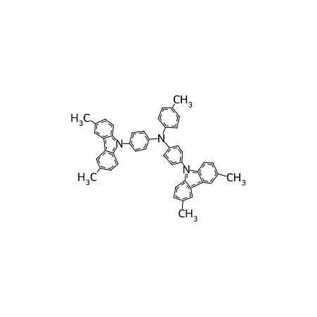 Cc1ccc(N(c2ccc(-n3c4ccc(C)cc4c4cc(C)ccc43)cc2)c2ccc(-n3c4ccc(C)cc4c4cc(C)ccc43)cc2)cc1